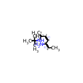 C=C(/C=C\C(N)=C/C)NC(C)(C)C